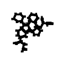 COC(=O)COc1ccccc1-c1c(C2CCCCC2)c2ccc(C(=O)OC(C)(C)C)cc2n1C1CCCC1